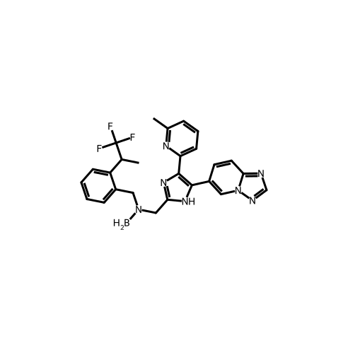 BN(Cc1nc(-c2cccc(C)n2)c(-c2ccc3ncnn3c2)[nH]1)Cc1ccccc1C(C)C(F)(F)F